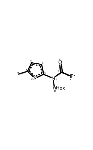 CCCCCCN(C(=O)C(C)C)c1ccc(C)s1